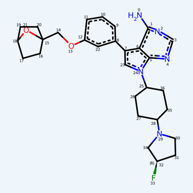 Nc1ncnc2c1c(-c1cccc(OCC34CCC(CC3)O4)c1)cn2C1CCC(N2CC[C@@H](F)C2)CC1